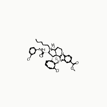 CCCCCN1[C@H]2CCn3c(nc4cc(C(=O)OC)ccc43)[C@H]2[C@H](c2cccc(Cl)c2F)[C@@H]1C(=O)Nc1cccc(Cl)c1